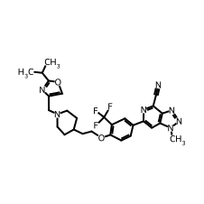 CC(C)c1nc(CN2CCC(CCOc3ccc(-c4cc5c(nnn5C)c(C#N)n4)cc3C(F)(F)F)CC2)co1